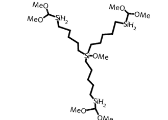 COC(OC)[SiH2]CCCCC[Si](CCCCC[SiH2]C(OC)OC)(CCCCC[SiH2]C(OC)OC)OC